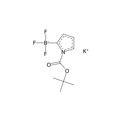 CC(C)(C)OC(=O)n1cccc1[B-](F)(F)F.[K+]